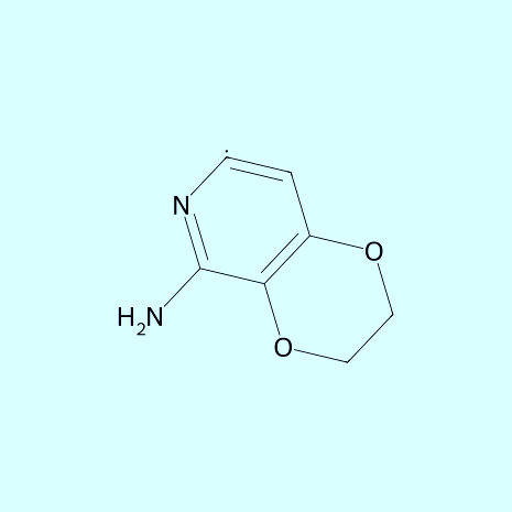 Nc1n[c]cc2c1OCCO2